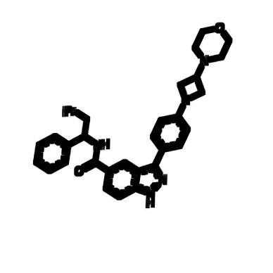 CC(C)CC(NC(=O)c1ccc2[nH]nc(-c3ccc(N4CC(N5CCOCC5)C4)cc3)c2c1)c1ccccc1